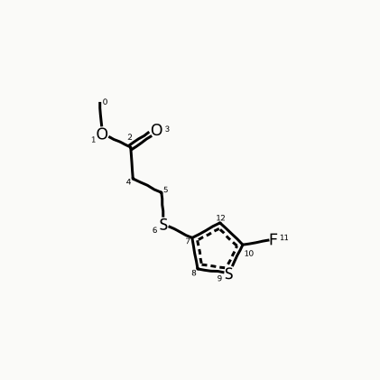 COC(=O)CCSc1csc(F)c1